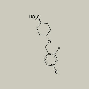 O=C(O)[C@H]1CC[C@H](OCc2ccc(Cl)cc2F)CC1